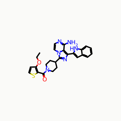 CCOc1ccsc1C(=O)N1CCC(c2nc(-c3cc4ccccc4[nH]3)c3c(N)nccn23)CC1